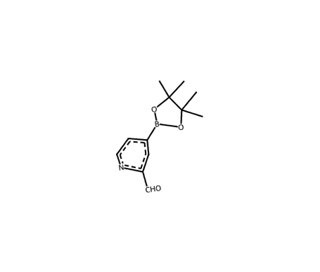 CC1(C)OB(c2ccnc(C=O)c2)OC1(C)C